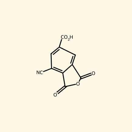 N#Cc1cc(C(=O)O)cc2c1C(=O)OC2=O